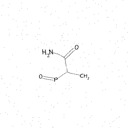 CC(P=O)C(N)=O